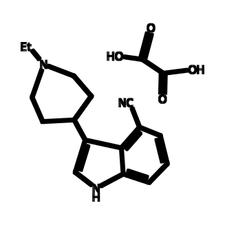 CCN1CCC(c2c[nH]c3cccc(C#N)c23)CC1.O=C(O)C(=O)O